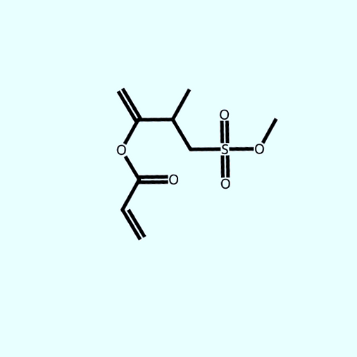 C=CC(=O)OC(=C)C(C)CS(=O)(=O)OC